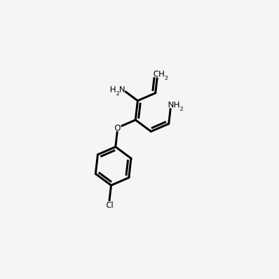 C=C/C(N)=C(\C=C/N)Oc1ccc(Cl)cc1